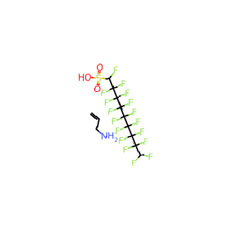 C=CCN.O=S(=O)(O)C(F)C(F)(F)C(F)(F)C(F)(F)C(F)(F)C(F)(F)C(F)(F)C(F)(F)C(F)F